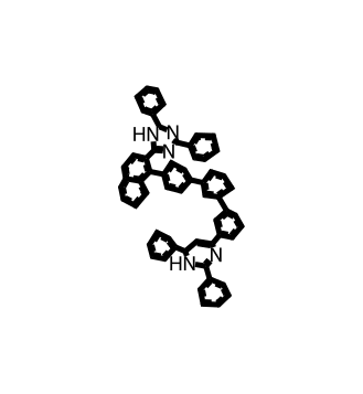 C1=C(c2cccc(-c3cccc(-c4ccc(-c5c(C6=NC(c7ccccc7)=NC(c7ccccc7)N6)ccc6ccccc56)cc4)c3)c2)N=C(c2ccccc2)NC1c1ccccc1